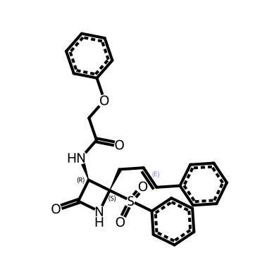 O=C(COc1ccccc1)N[C@@H]1C(=O)N[C@@]1(C/C=C/c1ccccc1)S(=O)(=O)c1ccccc1